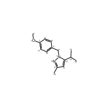 COc1ccc(Cn2nc(C)cc2C(C)C)cc1